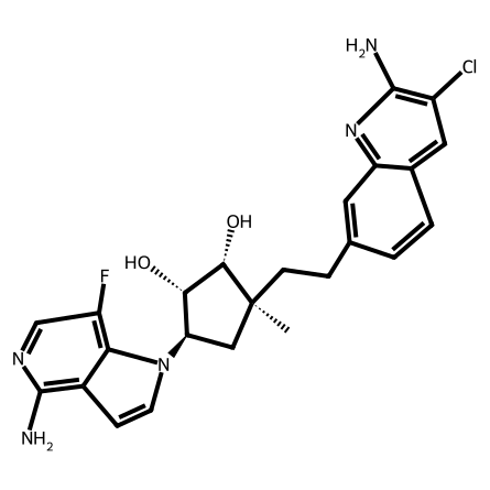 C[C@]1(CCc2ccc3cc(Cl)c(N)nc3c2)C[C@@H](n2ccc3c(N)ncc(F)c32)[C@H](O)[C@@H]1O